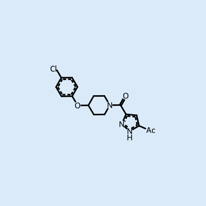 CC(=O)c1cc(C(=O)N2CCC(Oc3ccc(Cl)cc3)CC2)n[nH]1